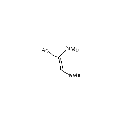 CN/C=C(\NC)C(C)=O